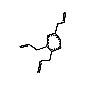 C=CCc1ccc(CC=C)c(CC=C)c1